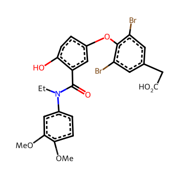 CCN(C(=O)c1cc(Oc2c(Br)cc(CC(=O)O)cc2Br)ccc1O)c1ccc(OC)c(OC)c1